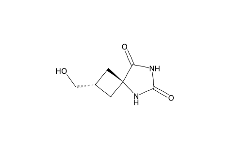 O=C1NC(=O)[C@]2(C[C@@H](CO)C2)N1